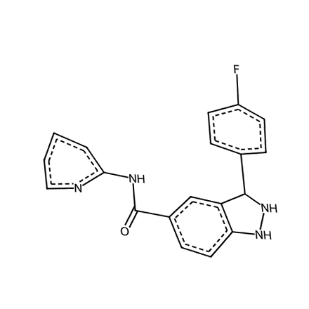 O=C(Nc1ccccn1)c1ccc2c(c1)C(c1ccc(F)cc1)NN2